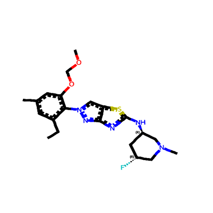 CCc1cc(C)cc(OCOC)c1-n1cc2sc(N[C@@H]3C[C@@H](F)CN(C)C3)nc2n1